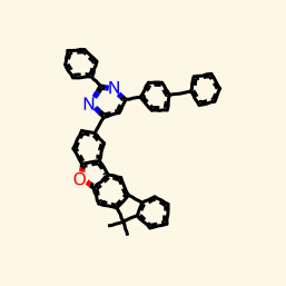 CC1(C)c2ccccc2-c2cc3c(cc21)oc1ccc(-c2cc(-c4ccc(-c5ccccc5)cc4)nc(-c4ccccc4)n2)cc13